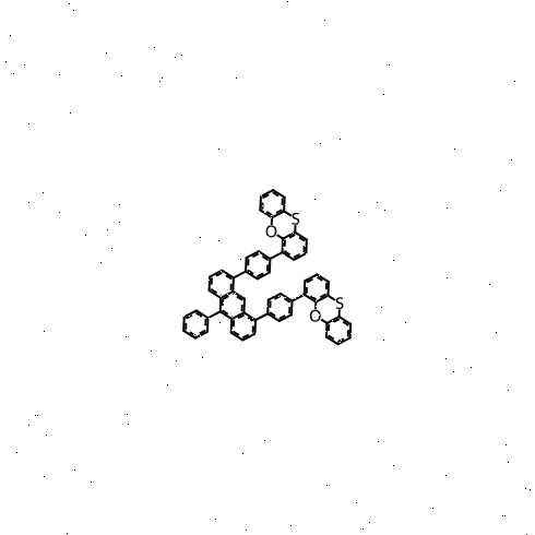 c1ccc(-c2c3cccc(-c4ccc(-c5cccc6c5Oc5ccccc5S6)cc4)c3cc3c(-c4ccc(-c5cccc6c5Oc5ccccc5S6)cc4)cccc23)cc1